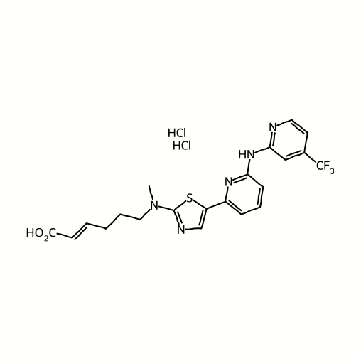 CN(CCCC=CC(=O)O)c1ncc(-c2cccc(Nc3cc(C(F)(F)F)ccn3)n2)s1.Cl.Cl